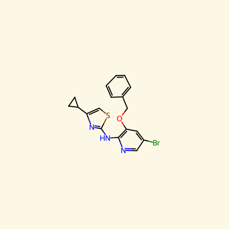 Brc1cnc(Nc2nc(C3CC3)cs2)c(OCc2ccccc2)c1